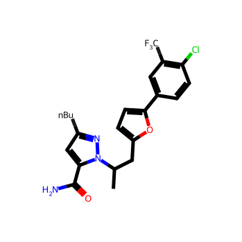 CCCCc1cc(C(N)=O)n(C(C)Cc2ccc(-c3ccc(Cl)c(C(F)(F)F)c3)o2)n1